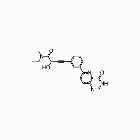 CCN(C)C(=O)C(O)C#Cc1cccc(-c2ccc3nc[nH]c(=O)c3n2)c1